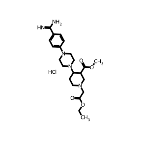 CCOC(=O)CN1CCC(N2CCN(c3ccc(C(=N)N)cc3)CC2)C(C(=O)OC)C1.Cl